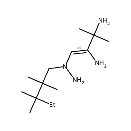 CCC(C)(C)C(C)(C)CN(N)/C=C(\N)C(C)(C)N